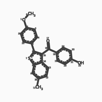 COc1ccc(-c2sc3cc(C)ccc3c2C(=O)c2ccc(O)cc2)cc1